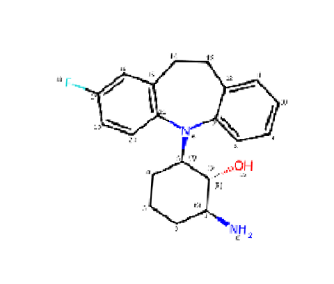 N[C@H]1CCC[C@@H](N2c3ccccc3CCc3cc(F)ccc32)[C@@H]1O